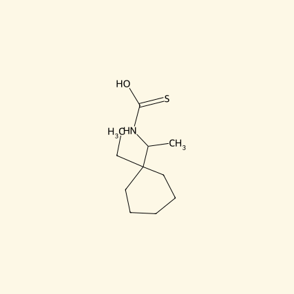 CCC1(C(C)NC(O)=S)CCCCC1